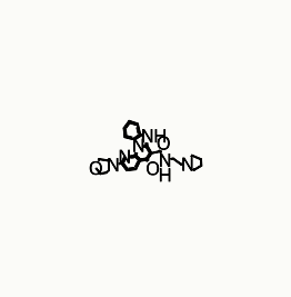 O=C(NCCN1CCCC1)c1c(=O)c2ccc(N3CCOCC3)nc2n2c1[nH]c1ccccc12